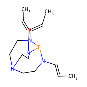 C/C=C/N1CCN2CCN(/C=C/C)P1N(/C=C/C)CC2